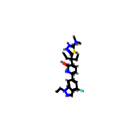 CCn1ncc2c(F)cc(-c3ccc(C(CC)(CC)c4nnc(N(C)C)s4)c(=O)[nH]3)cc21